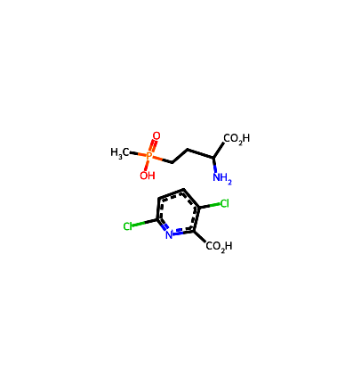 CP(=O)(O)CCC(N)C(=O)O.O=C(O)c1nc(Cl)ccc1Cl